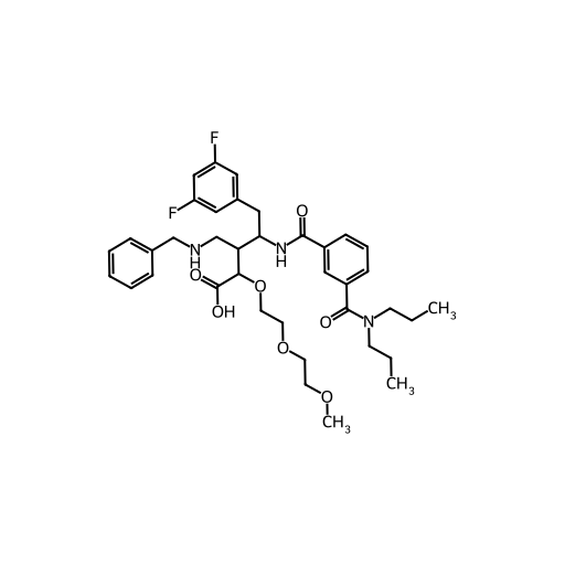 CCCN(CCC)C(=O)c1cccc(C(=O)NC(Cc2cc(F)cc(F)c2)C(CNCc2ccccc2)C(OCCOCCOC)C(=O)O)c1